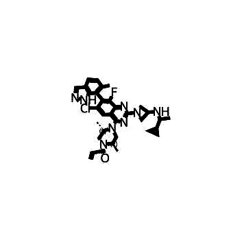 C=CC(=O)N1C[C@H](C)N(c2nc(N3CC(NC(C)C4CC4)C3)nc3c(F)c(-c4c(C)ccc5cn[nH]c45)c(Cl)cc23)C[C@H]1C